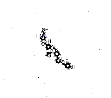 N=C/C=C1/C=C(NC(=O)c2ccc3c(c2)nc(CN2CC=C(c4cccc(OCc5ccc(Cl)cc5F)n4)CC2)n3CC2CCO2)C=CN1